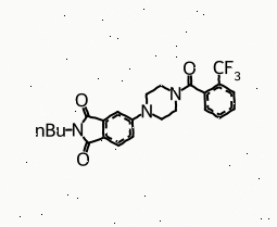 CCCCN1C(=O)c2ccc(N3CCN(C(=O)c4ccccc4C(F)(F)F)CC3)cc2C1=O